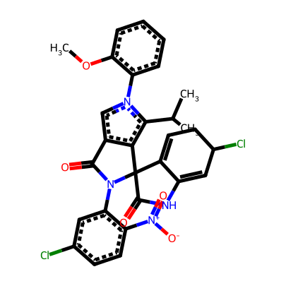 COc1ccccc1-n1cc2c(c1C(C)C)C1(C(=O)NC3=CC(Cl)CC=C31)N(c1cc(Cl)ccc1[N+](=O)[O-])C2=O